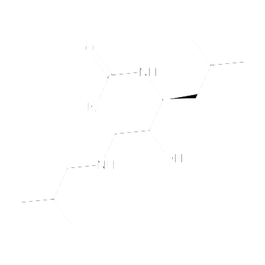 CC(C)CNCC(O)[C@H](CC(C)C)NC(=O)O